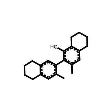 Cc1cc2c(cc1-c1c(C)cc3c(c1O)CCCC3)CCCC2